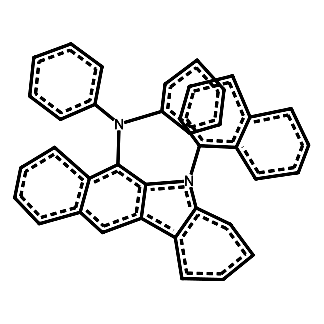 c1ccc(N(c2ccccc2)c2c3ccccc3cc3c4ccccc4n(-c4cccc5ccccc45)c23)cc1